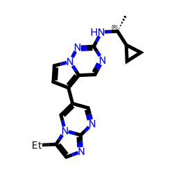 CCc1cnc2ncc(-c3ccn4nc(N[C@H](C)C5CC5)ncc34)cn12